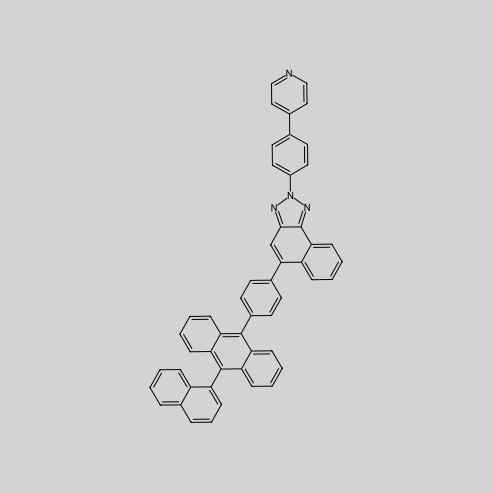 c1ccc2c(-c3c4ccccc4c(-c4ccc(-c5cc6nn(-c7ccc(-c8ccncc8)cc7)nc6c6ccccc56)cc4)c4ccccc34)cccc2c1